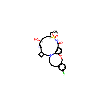 CC[C@@H]1CC[C@H](O)/C=C/C2CCC2CN2CCCCc3cc(Cl)ccc3COc3ccc(cc32)C(=O)NS1(=O)=O